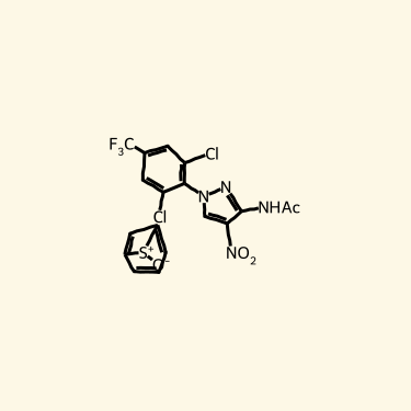 CC(=O)Nc1nn(-c2c(Cl)cc(C(F)(F)F)cc2Cl)cc1[N+](=O)[O-].[O-][S+]1c2cccc1c2